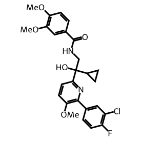 COc1ccc(C(=O)NCC(O)(c2ccc(OC)c(-c3ccc(F)c(Cl)c3)n2)C2CC2)cc1OC